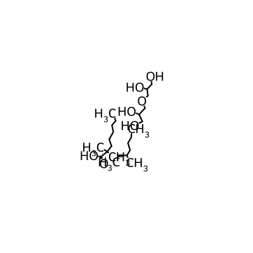 CCCCC(C)CC.CCCCCCC(C)(C)C(=O)O.OCC(O)COCC(O)CO